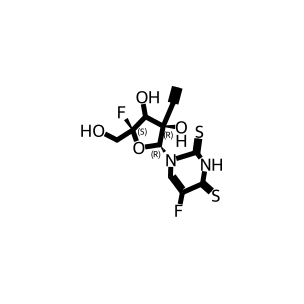 C#C[C@@]1(O)C(O)[C@@](F)(CO)O[C@H]1n1cc(F)c(=S)[nH]c1=S